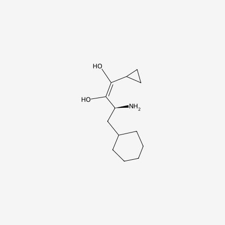 N[C@@H](CC1CCCCC1)/C(O)=C(/O)C1CC1